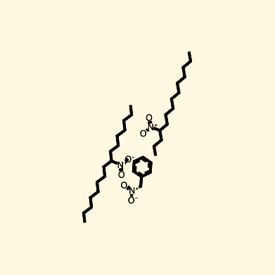 CCCCCCCCC(CCCCCCC)[N+](=O)[O-].CCCCCCCCCCC(CCC)[N+](=O)[O-].O=[N+]([O-])Cc1ccccc1